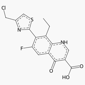 CCc1c(-c2nc(CCl)cs2)c(F)cc2c(=O)c(C(=O)O)c[nH]c12